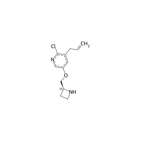 C=CCc1cc(OC[C@@H]2CCN2)cnc1Cl